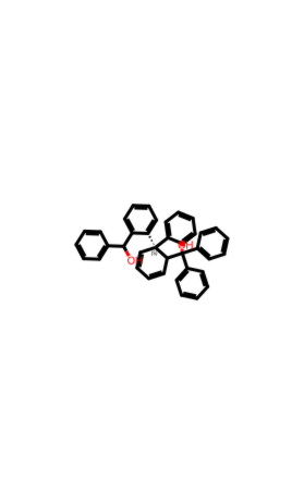 OC(c1ccccc1)c1ccccc1[C@@]1(c2ccccc2)C=CC=CC1C(O)(c1ccccc1)c1ccccc1